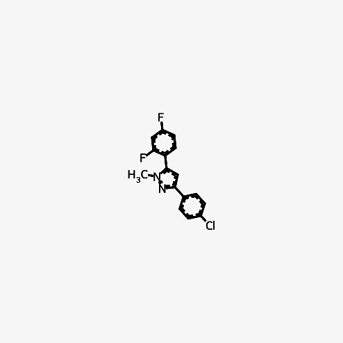 Cn1nc(-c2ccc(Cl)cc2)cc1-c1ccc(F)cc1F